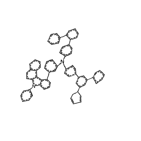 C1=CCC(c2cc(-c3ccccc3)cc(-c3ccc(N(c4ccc(-c5ccccc5-c5ccccc5)cc4)c4cccc(-c5cccc6c5c5c7ccccc7ccc5n6-c5ccccc5)c4)cc3)c2)C=C1